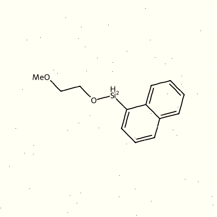 COCCO[SiH2]c1cccc2ccccc12